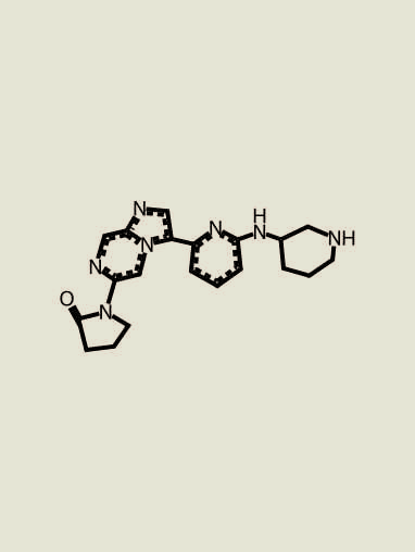 O=C1CCCN1c1cn2c(-c3cccc(NC4CCCNC4)n3)cnc2cn1